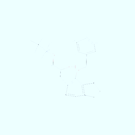 CC(C)(C)[Si](C)(C)OCC(O)Cc1ccc2c(c1OCc1ccccc1)CCC2